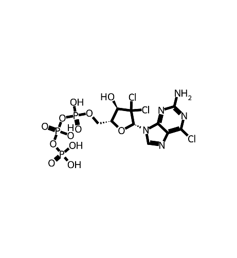 Nc1nc(Cl)c2ncn([C@@H]3O[C@H](COP(=O)(O)OP(=O)(O)OP(=O)(O)O)[C@@H](O)C3(Cl)Cl)c2n1